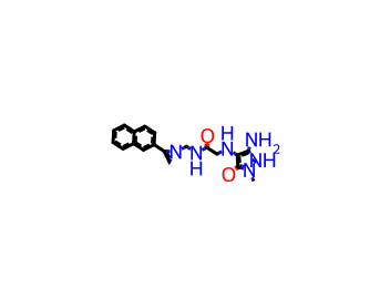 Cn1[nH]c(N)c(NCC(=O)NCN2C=C2c2ccc3ccccc3c2)c1=O